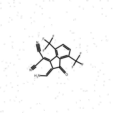 N#CC(C#N)=C1/C(=C\N)C(=O)c2c(C(F)(F)F)ccc(C(F)(F)F)c21